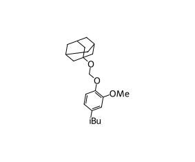 CCC(C)c1ccc(OCOC23CC4CC(CC(C4)C2)C3)c(OC)c1